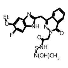 CCOc1cc2nc(Cc3nn(CC(=O)NSN(C)O)c(=O)c4ccccc34)[nH]c2cc1F